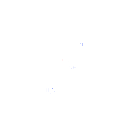 Nc1ccc(NC(=O)c2ccnc3ccccc23)cc1